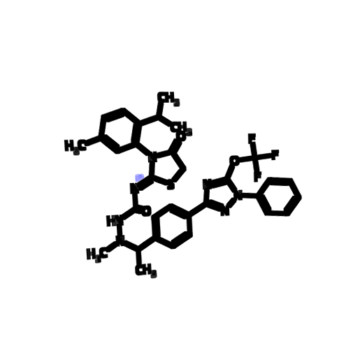 Cc1ccc(C(C)C)c(N2C(=O)CS/C2=N\C(=O)NN(C)C(C)c2ccc(-c3nc(OC(F)(F)F)n(-c4ccccc4)n3)cc2)c1